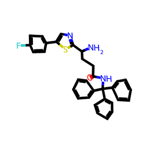 NC(CCC(=O)NC(c1ccccc1)(c1ccccc1)c1ccccc1)c1ncc(-c2ccc(F)cc2)s1